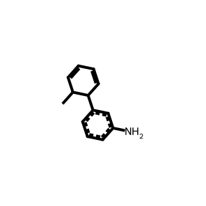 CC1C=CC=CC1c1cccc(N)c1